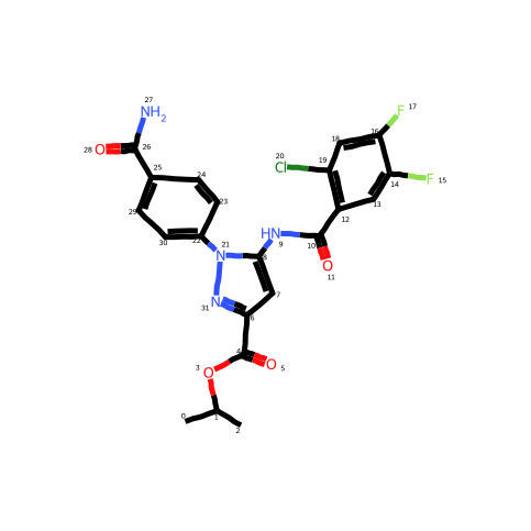 CC(C)OC(=O)c1cc(NC(=O)c2cc(F)c(F)cc2Cl)n(-c2ccc(C(N)=O)cc2)n1